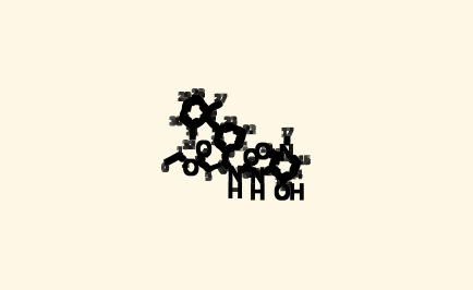 CCOC(=O)C[C@H](NC(=O)Nc1c(O)ccn(C)c1=O)c1cccc(-c2c(C)cccc2C)c1